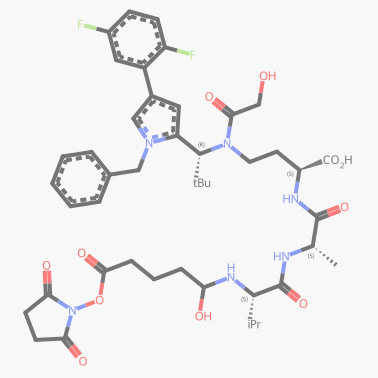 CC(C)[C@H](NC(O)CCCC(=O)ON1C(=O)CCC1=O)C(=O)N[C@@H](C)C(=O)N[C@@H](CCN(C(=O)CO)[C@@H](c1cc(-c2cc(F)ccc2F)cn1Cc1ccccc1)C(C)(C)C)C(=O)O